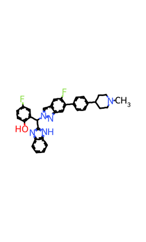 CN1CCC(c2ccc(-c3cc4nn(C(c5nc6ccccc6[nH]5)c5cc(F)ccc5O)cc4cc3F)cc2)CC1